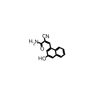 N#CC(=Cc1cc(O)cc2ccccc12)C(N)=O